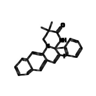 CC1(C)CN2c3cc4ccccc4cc3C=C(F)C2(c2ccccc2)NC1=O